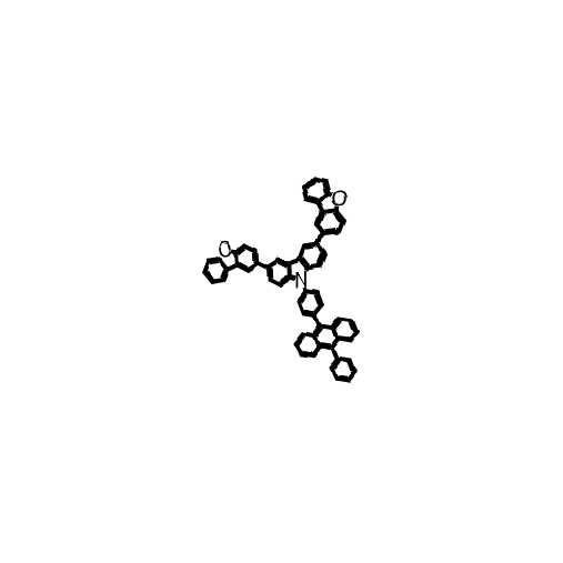 c1ccc(-c2c3ccccc3c(-c3ccc(-n4c5ccc(-c6ccc7oc8ccccc8c7c6)cc5c5cc(-c6ccc7oc8ccccc8c7c6)ccc54)cc3)c3ccccc23)cc1